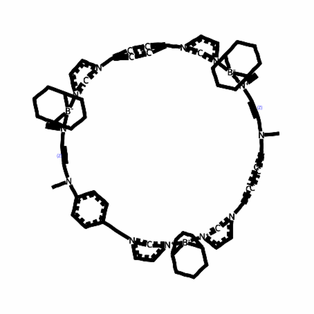 C=[N+]1/C=C\N(C)c2ccc(cc2)-n2cc[n+](c2)[B-]2(C3CCCC2CCC3)[n+]2ccn(c2)-c2ccc(cc2)N(C)/C=C\[N+](=C)[B-]2(C3CCCC2CCC3)[n+]2ccn(c2)-c2ccc(cc2)-n2cc[n+](c2)[B-]12C1CCCC2CCC1